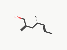 C=C(CO)C[C@H](C)/C=C/C